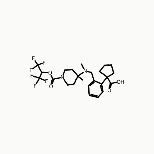 CN(Cc1ccccc1C1(C(=O)O)CCCC1)C1(C)CCN(C(=O)OC(C(F)(F)F)C(F)(F)F)CC1